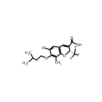 Cc1c(OCCC(C)C)c(Cl)cc2c1O[C@@H](C(F)(F)F)C(C(=O)O)=C2